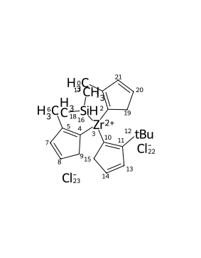 CC1=[C]([Zr+2]([C]2=C(C)C=CC2)([C]2=C(C(C)(C)C)C=CC2)[SiH](C)C)CC=C1.[Cl-].[Cl-]